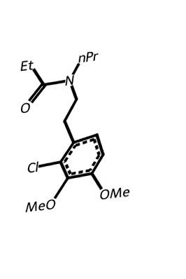 CCCN(CCc1ccc(OC)c(OC)c1Cl)C(=O)CC